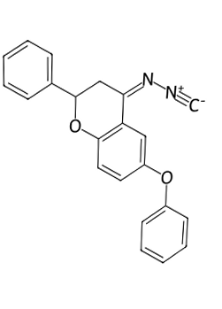 [C-]#[N+]/N=C1/CC(c2ccccc2)Oc2ccc(Oc3ccccc3)cc21